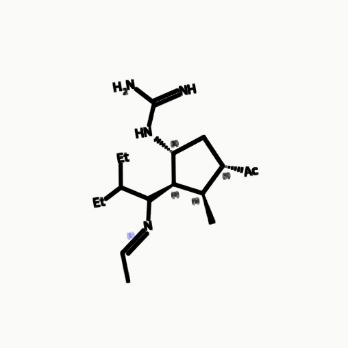 C/C=N/C(C(CC)CC)[C@@H]1[C@H](C)[C@@H](C(C)=O)C[C@H]1NC(=N)N